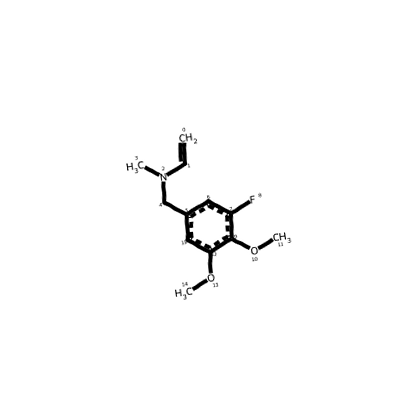 C=CN(C)Cc1cc(F)c(OC)c(OC)c1